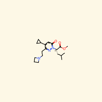 COC(=O)[C@H](CC(C)C)n1nc(CCN2CCC2)c(C2CC2)cc1=O